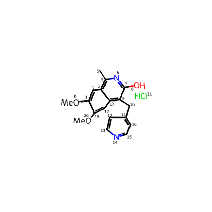 COc1cc2c(C)nc(O)c(Cc3ccncc3)c2cc1OC.Cl